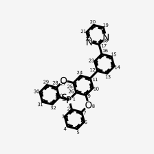 S=P12c3ccccc3Oc3cc(-c4cccc(-c5ncccn5)c4)cc(c31)Oc1ccccc12